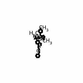 Cc1ccc(C(NC(=O)C2(c3ccc4c(c3)CCN4CCOCc3ccccc3)CC2)c2ccc(C)o2)c(C)c1